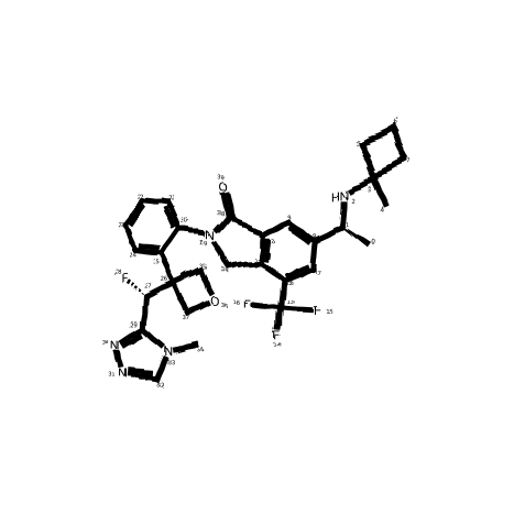 C[C@H](NC1(C)CCC1)c1cc2c(c(C(F)(F)F)c1)CN(c1ccccc1C1([C@@H](F)c3nncn3C)COC1)C2=O